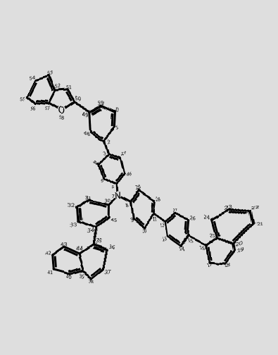 c1cc(-c2ccc(N(c3ccc(-c4ccc(-c5cccc6ccccc56)cc4)cc3)c3cccc(-c4cccc5ccccc45)c3)cc2)cc(-c2cc3ccccc3o2)c1